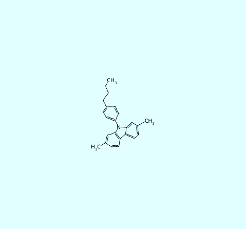 CCCCc1ccc(-n2c3cc(C)ccc3c3ccc(C)cc32)cc1